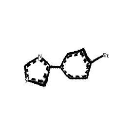 CCc1ccc(-c2cscn2)cc1